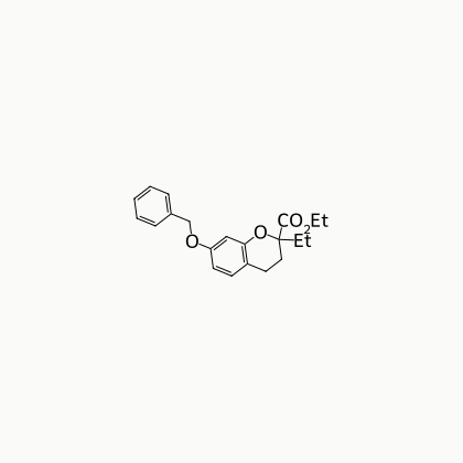 CCOC(=O)C1(CC)CCc2ccc(OCc3ccccc3)cc2O1